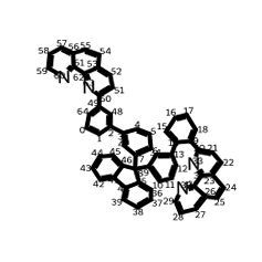 c1cc(-c2cccc(C3(c4cccc(-c5ccccc5-c5ccc6ccc7cccnc7c6n5)c4)c4ccccc4-c4ccccc43)c2)cc(-c2ccc3ccc4cccnc4c3n2)c1